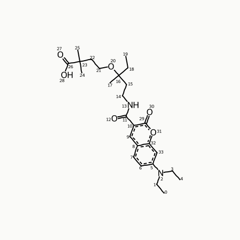 CCN(CC)c1ccc2cc(C(=O)NCCC(C)(CC)OCCC(C)(C)C(=O)O)c(=O)oc2c1